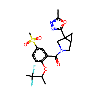 Cc1nnc(C23CC2CN(C(=O)c2cc(S(C)(=O)=O)ccc2OC(C)C(C)(F)F)C3)o1